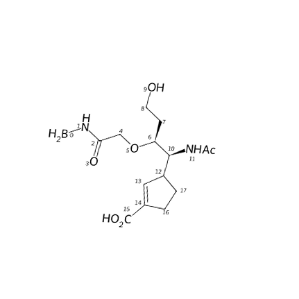 BNC(=O)CO[C@@H](CCO)[C@@H](NC(C)=O)C1C=C(C(=O)O)CC1